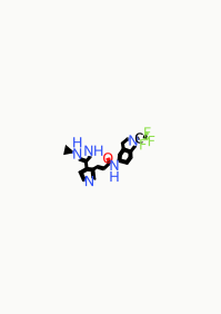 N=C/C(=C\NC1CC1)c1ccncc1/C=C/C(=O)Nc1ccc2c(c1)CCN(CC(F)(F)F)C2